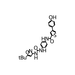 CC(C)(C)c1cc(NC(=O)Nc2ccc(NC(=O)c3cc(-c4ccc(O)cc4)cs3)cc2)no1